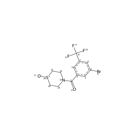 O=C(c1cc(Br)cc(C(F)(F)F)c1)N1CC[S+]([O-])CC1